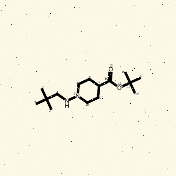 CC(C)(C)CNN1CCC(C(=O)OC(C)(C)C)CC1